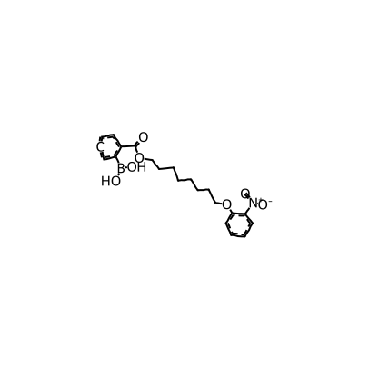 O=C(OCCCCCCCCOc1ccccc1[N+](=O)[O-])c1ccccc1B(O)O